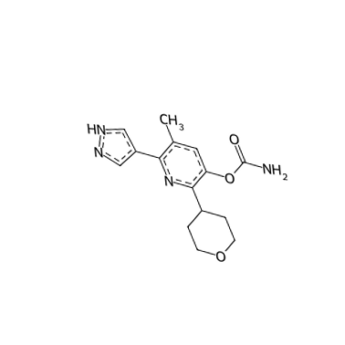 Cc1cc(OC(N)=O)c(C2CCOCC2)nc1-c1cn[nH]c1